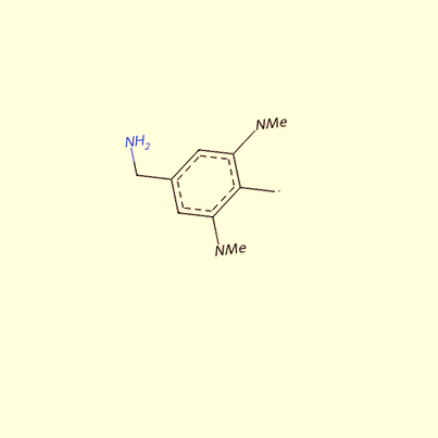 [CH2]c1c(NC)cc(CN)cc1NC